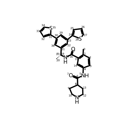 Cc1ccc(NC(=O)C2CCNCC2)cc1C(=O)N[C@H](C)c1cc(-c2cccs2)cc(-c2cccs2)c1